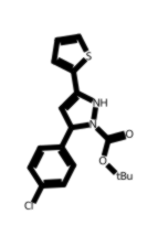 CC(C)(C)OC(=O)N1NC(c2cccs2)=CC1c1ccc(Cl)cc1